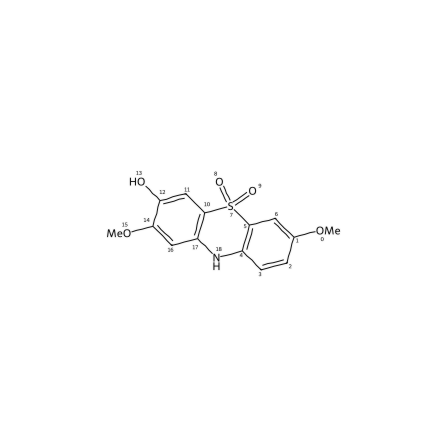 COc1ccc2c(c1)S(=O)(=O)c1cc(O)c(OC)cc1N2